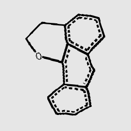 c1ccc2c3c4c(cccc4cc2c1)CCO3